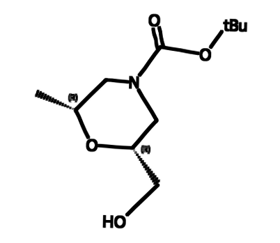 C[C@@H]1CN(C(=O)OC(C)(C)C)C[C@H](CO)O1